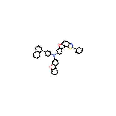 c1ccc(-c2nc3ccc4oc5cc(N(c6ccc(-c7cccc8ccccc78)cc6)c6ccc7c(c6)oc6ccccc67)ccc5c4c3s2)cc1